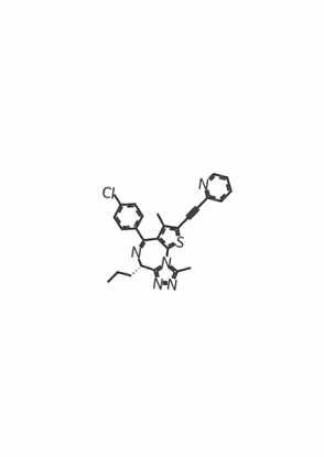 CCC[C@@H]1N=C(c2ccc(Cl)cc2)c2c(sc(C#Cc3ccccn3)c2C)-n2c(C)nnc21